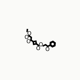 CCOC(=O)CC(=O)C1CC(C(=O)OCCC(=O)c2ccccc2)C1